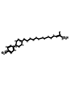 CC(=CCCCCCCCCCCCN1CCN(c2ccc([N+](=O)[O-])cc2)CC1)C(=O)O